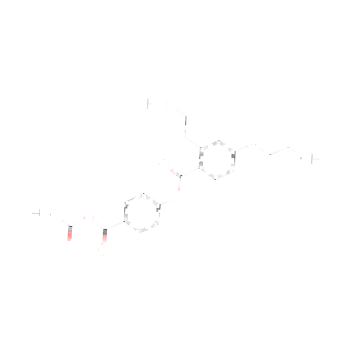 CCCCc1ccc(C(=O)Oc2ccc(C(=O)OC(C)=O)cc2)c(CCC)c1